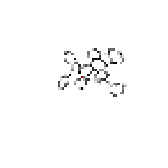 c1ccc(-c2nc(-c3ccccc3)nc(-n3c4ccccc4c4cccc(-c5ccnc6c5c5ccccc5n6-c5ccccc5)c43)n2)cc1